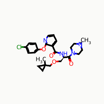 CN1CCN(C(=O)[C@@H](COCC2(C)CC2)NC(=O)c2cccnc2Oc2ccc(Cl)cc2)CC1